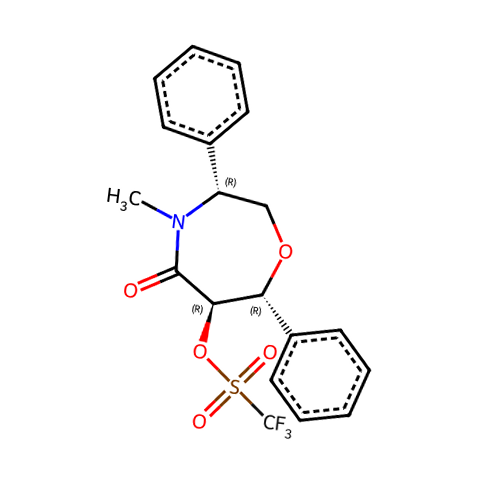 CN1C(=O)[C@H](OS(=O)(=O)C(F)(F)F)[C@@H](c2ccccc2)OC[C@H]1c1ccccc1